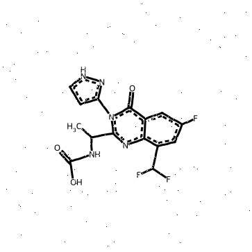 CC(NC(=O)O)c1nc2c(C(F)F)cc(F)cc2c(=O)n1-c1cc[nH]n1